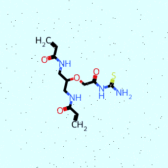 C=CC(=O)NCC(CNC(=O)C=C)OCC(=O)NC(N)=S